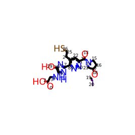 O=C(O)CNc1[nH]c(-c2nnc(C(=O)N3CCC(OCI)C3)cc2CCS)nc1O